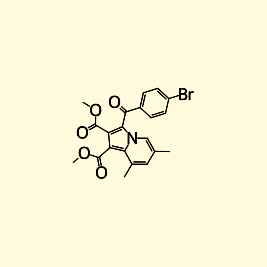 COC(=O)c1c(C(=O)OC)c2c(C)cc(C)cn2c1C(=O)c1ccc(Br)cc1